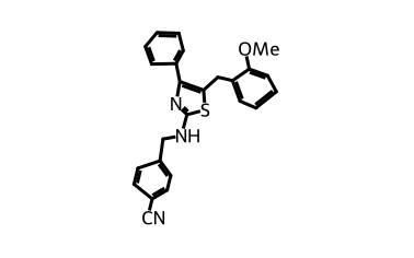 COc1ccccc1Cc1sc(NCc2ccc(C#N)cc2)nc1-c1ccccc1